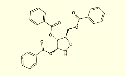 O=C(OC[C@H]1ON[C@@H](OC(=O)c2ccccc2)[C@@H]1OC(=O)c1ccccc1)c1ccccc1